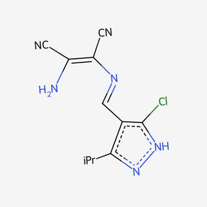 CC(C)c1n[nH]c(Cl)c1C=NC(C#N)=C(N)C#N